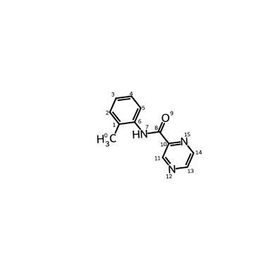 Cc1ccccc1NC(=O)c1cnccn1